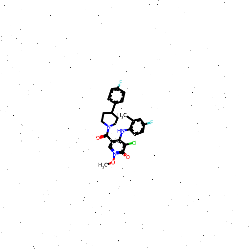 COn1cc(C(=O)N2CCC(c3ccc(F)cc3)CC2)c(Nc2ccc(F)cc2C)c(Cl)c1=O